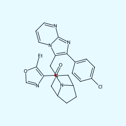 CCc1ocnc1C(=O)N1C2CCC1CN(Cc1c(-c3ccc(Cl)cc3)nc3ncccn13)C2